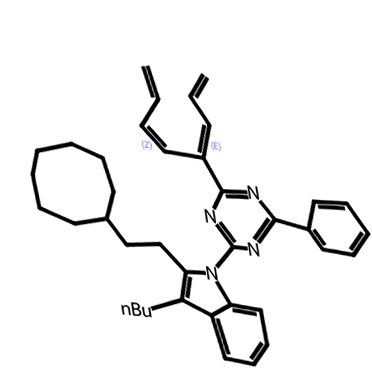 C=C/C=C\C(=C/C=C)c1nc(-c2ccccc2)nc(-n2c(CCC3CCCCCCC3)c(CCCC)c3ccccc32)n1